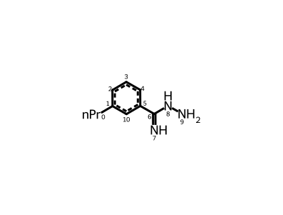 CCCc1cccc(C(=N)NN)c1